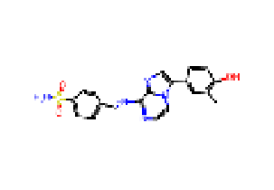 Cc1cc(-c2cnc3c(NCc4ccc(S(N)(=O)=O)cc4)nccn23)ccc1O